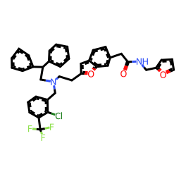 O=C(Cc1ccc2cc(CCN(Cc3cccc(C(F)(F)F)c3Cl)CC(c3ccccc3)c3ccccc3)oc2c1)NCc1ccco1